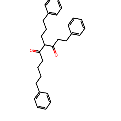 O=C(CCCCc1ccccc1)C(CCCc1ccccc1)C(=O)CCc1ccccc1